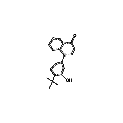 CC(C)(C)c1ccc(-n2ccc(=O)c3ccccc32)cc1O